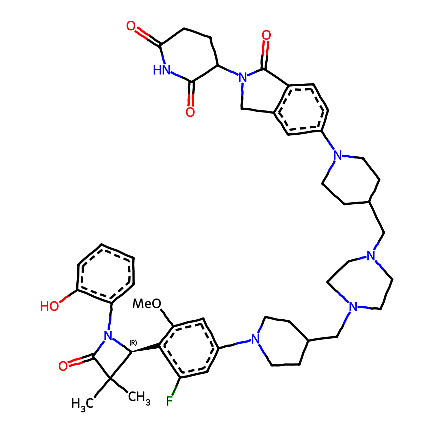 COc1cc(N2CCC(CN3CCN(CC4CCN(c5ccc6c(c5)CN(C5CCC(=O)NC5=O)C6=O)CC4)CC3)CC2)cc(F)c1[C@@H]1N(c2ccccc2O)C(=O)C1(C)C